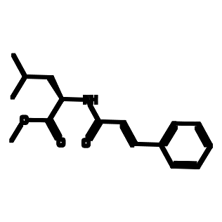 COC(=O)[C@@H](CC(C)C)NC(=O)C=Cc1ccccc1